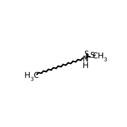 CCCCCCCCCCCCCCCCCCCCNC(=S)CSC